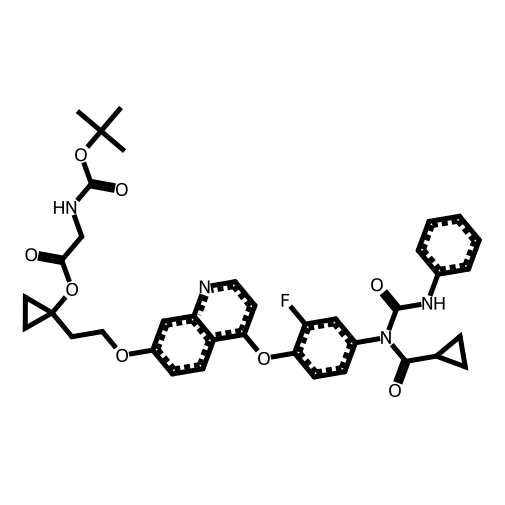 CC(C)(C)OC(=O)NCC(=O)OC1(CCOc2ccc3c(Oc4ccc(N(C(=O)Nc5ccccc5)C(=O)C5CC5)cc4F)ccnc3c2)CC1